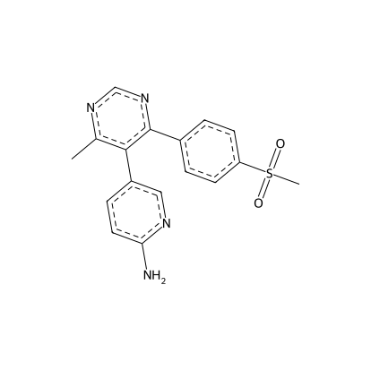 Cc1ncnc(-c2ccc(S(C)(=O)=O)cc2)c1-c1ccc(N)nc1